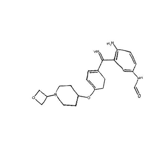 N=C(C1=CC=C(OC2CCN(C3COC3)CC2)CC1)c1cc(NC=O)ccc1N